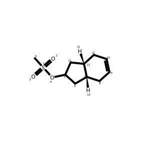 CS(=O)(=O)OC1C[C@H]2CC=CC[C@H]2C1